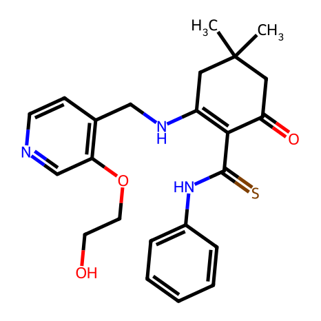 CC1(C)CC(=O)C(C(=S)Nc2ccccc2)=C(NCc2ccncc2OCCO)C1